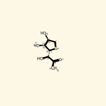 CC(=O)C(O)[C@H]1O[CH][C@H](O)[C@@H]1O